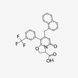 O=C(O)C1COc2c(-c3cccc(C(F)(F)F)c3)c(Cc3cccc4ccccc34)cc(=O)n21